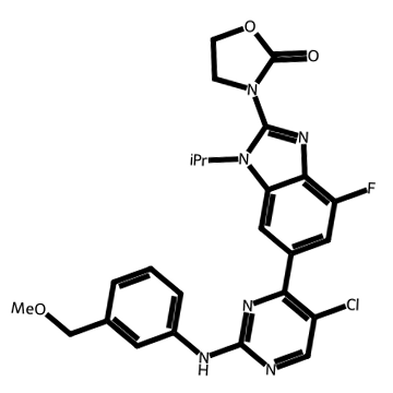 COCc1cccc(Nc2ncc(Cl)c(-c3cc(F)c4nc(N5CCOC5=O)n(C(C)C)c4c3)n2)c1